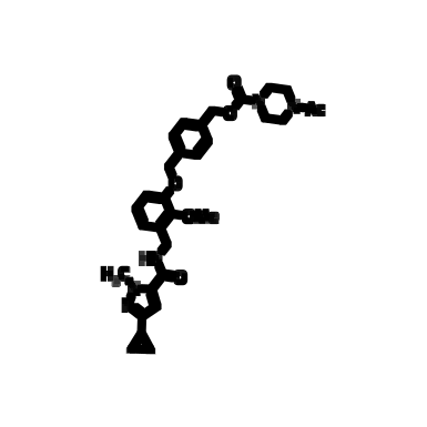 COc1c(CNC(=O)c2cc(C3CC3)nn2C)cccc1OCc1ccc(COC(=O)N2CCN(C(C)=O)CC2)cc1